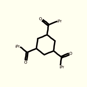 CC(C)C(=O)C1CC(C(=O)C(C)C)CC(C(=O)C(C)C)C1